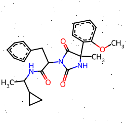 COc1ccccc1C1(C)NC(=O)N(C(Cc2ccccc2)C(=O)NC(C)C2CC2)C1=O